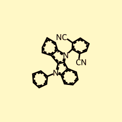 N#Cc1cccc(C#N)c1-n1c2ccccc2c2c1c1ccccc1n2-c1ccccc1